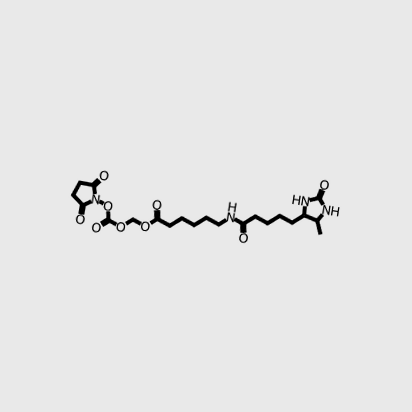 CC1NC(=O)NC1CCCCC(=O)NCCCCCC(=O)OCOC(=O)ON1C(=O)CCC1=O